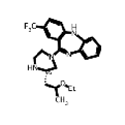 CCOC(C)C[C@H]1CN(C2=Nc3ccccc3Nc3ccc(C(F)(F)F)cc32)CCN1